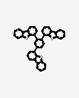 c1ccc2c(c1)oc1c(-c3ccc(-c4cccc5c4oc4ccccc45)c(-c4cccc5c4oc4ccccc45)c3)cccc12